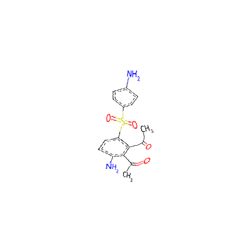 CC(=O)c1c(N)ccc(S(=O)(=O)c2ccc(N)cc2)c1C(C)=O